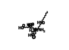 CCCCCCCCCC(=O)NCCCC[C@H](N)C(=O)C[C@H](Cc1c[nH]c2ccccc12)C(=O)NCC[C@@H](NC(=O)CCCC(=O)O)C(=O)O